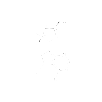 C[C@]1(O)C(n2cc(C(=O)O)c3c(N)ncnc32)O[C@H](CO)[C@H]1O